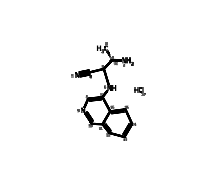 C[C@H](N)C(C#N)Nc1cncc2ccccc12.Cl